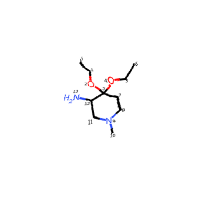 CCOC1(OCC)CCN(C)CC1N